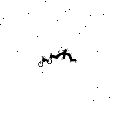 CCCC(C)(C)CCCOC=O